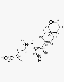 CN(CCN(C)C(=O)O)Cc1c[nH]nc1C1=CCC2(CCCOC2)CC1